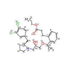 CCOC(=O)CCc1ccccc1[C@@H](C)OC[C@H](O)CN1CCC[C@H]1Cc1ccc(Cl)c(Cl)c1